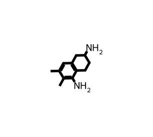 Cc1cc2c(c(N)c1C)CCC(N)C2